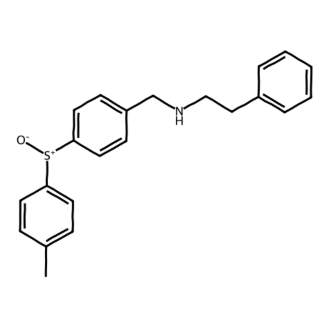 Cc1ccc([S+]([O-])c2ccc(CNCCc3ccccc3)cc2)cc1